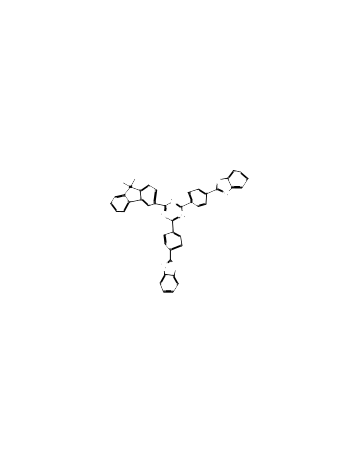 CC1(C)c2ccccc2-c2cc(-c3nc(-c4ccc(-c5nc6ccccc6o5)cc4)nc(-c4ccc(-c5nc6ccccc6o5)cc4)n3)ccc21